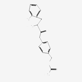 NC(=O)OCc1ccc(CC(=O)C(N)Cc2ccccc2N)cc1